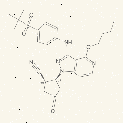 CCCCOc1nccc2c1c(Nc1ccc(S(=O)(=O)C(C)(C)C)cc1)nn2[C@H]1CC(=O)C[C@H]1C#N